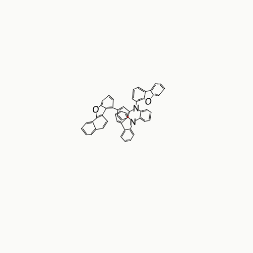 c1cc(-c2cccc3oc4c5ccccc5ccc4c23)cc(N(c2ccccc2-n2c3ccccc3c3ccccc32)c2cccc3c2oc2ccccc23)c1